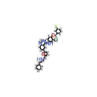 Fc1cccc(COc2ccc(Nc3ncnc4ccc(-c5ccc(CNCCC6CC=CCC6)o5)cc34)cc2Cl)c1